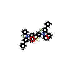 Fc1cc(-c2ccccc2)cc(-c2ccccc2)c1N(c1ccccc1)c1ccc2c(c1)Sc1cccc3c(N(c4ccccc4)c4c(F)cc(-c5ccccc5)cc4-c4ccccc4)ccc-2c13